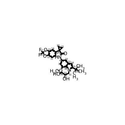 COc1cc(NC(=O)C2(c3ccc4c(c3)OC(F)(F)O4)CC2)cc2cc(C(C)(C)C)n(C[C@H](O)CO)c12